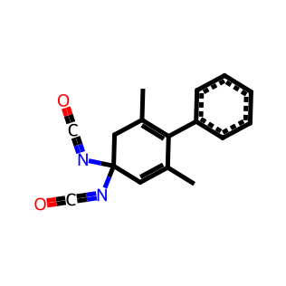 CC1=CC(N=C=O)(N=C=O)CC(C)=C1c1ccccc1